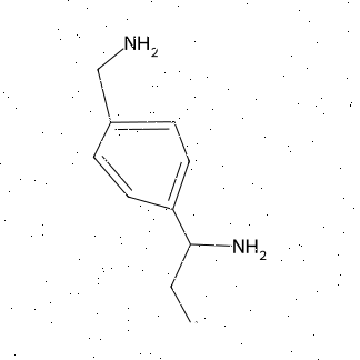 [CH2]CC(N)c1ccc(CN)cc1